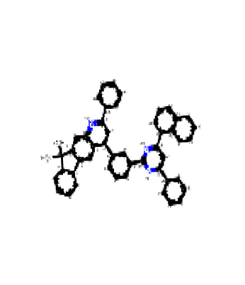 CC1(C)c2ccccc2-c2cc3c(-c4cccc(-c5nc(-c6ccccc6)cc(-c6cccc7ccccc67)n5)c4)cc(-c4ccccc4)nc3cc21